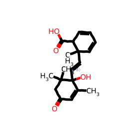 CC1=CC(=O)CC(C)(C)C1(O)/C=C/C1(C)C=CC=CC1C(=O)O